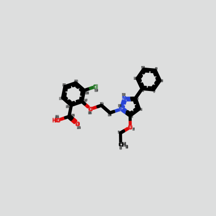 CCOc1cc(-c2ccccc2)nn1CCOc1c(Cl)cccc1C(=O)O